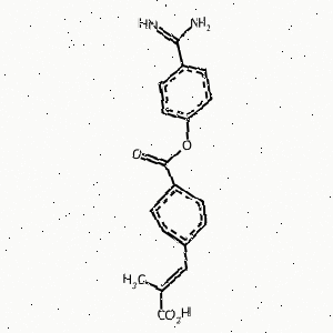 C/C(=C\c1ccc(C(=O)Oc2ccc(C(=N)N)cc2)cc1)C(=O)O